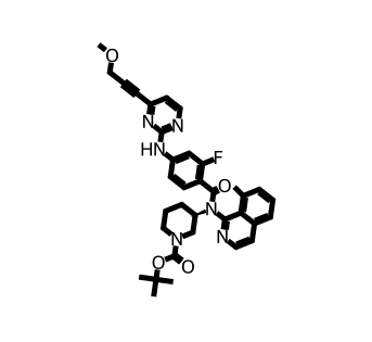 COCC#Cc1ccnc(Nc2ccc(C(=O)N(c3nccc4cccc(C)c34)[C@@H]3CCCN(C(=O)OC(C)(C)C)C3)c(F)c2)n1